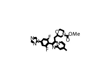 COC(=O)N1CCOC(Cc2c(-c3c(F)cc(-n4cncn4)cc3F)nc3cc(C)ccn23)C1